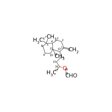 C=C1CCC2C(C)(C)CCCC2(C)C1CCC(C)OC=O